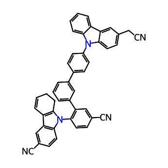 N#CCc1ccc2c(c1)c1ccccc1n2-c1ccc(-c2cccc(-c3cc(C#N)ccc3-n3c4c(c5cc(C#N)ccc53)C=CCC4)c2)cc1